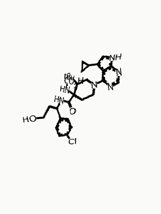 CC(C)(C)C1CN(c2ncnc3[nH]cc(C4CC4)c23)CCC1(NC(=O)O)C(=O)NC(CCO)c1ccc(Cl)cc1